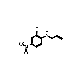 C=CCNc1ccc([N+](=O)[O-])cc1F